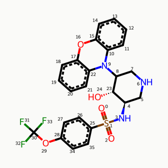 O=S(=O)(N[C@@H]1CNCC(N2c3ccccc3Oc3ccccc32)[C@H]1O)c1ccc(OC(F)(F)F)cc1